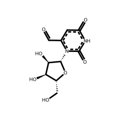 O=Cc1cc(=O)[nH]c(=O)n1[C@@H]1O[C@H](CO)[C@@H](O)[C@H]1O